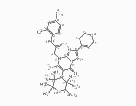 BC1NC(B)(B)C(B)(B)N(c2c(CC)n(CC(=O)Nc3ccc(C(F)(F)F)cc3Cl)c3nc(C4=CCOCC4)nn3c2=O)C1(B)B